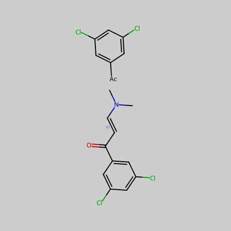 CC(=O)c1cc(Cl)cc(Cl)c1.CN(C)/C=C/C(=O)c1cc(Cl)cc(Cl)c1